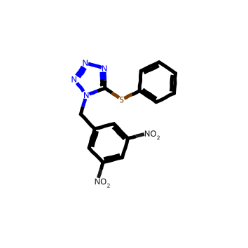 O=[N+]([O-])c1cc(Cn2nnnc2Sc2ccccc2)cc([N+](=O)[O-])c1